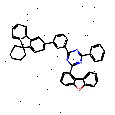 c1ccc(-c2nc(-c3cccc(-c4ccc5c(c4)-c4ccccc4C54CCCCC4)c3)nc(-c3cccc4oc5ccccc5c34)n2)cc1